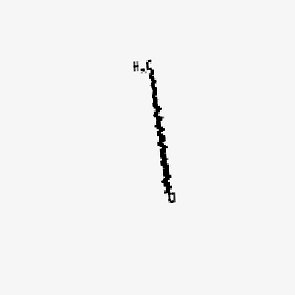 CCCCCCCCCCCCCCCCCCCCCCCCCCCCl